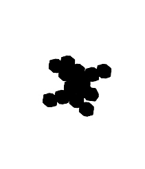 c1ccc(-c2ccc(N3B4c5cc(-c6ccccc6)ccc5N(c5ccc(-c6ccccc6)cc5)c5cc6c(oc7ccccc76)c(c54)-c4cc(N(c5ccc(-c6ccccc6)cc5)c5ccc(-c6ccccc6)cc5)ccc43)cc2)cc1